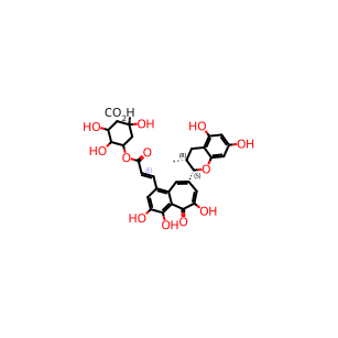 C[C@@H]1Cc2c(O)cc(O)cc2O[C@@H]1c1cc(O)c(=O)c2c(O)c(O)cc(/C=C/C(=O)OC3CC(O)(C(=O)O)CC(O)C3O)c2c1